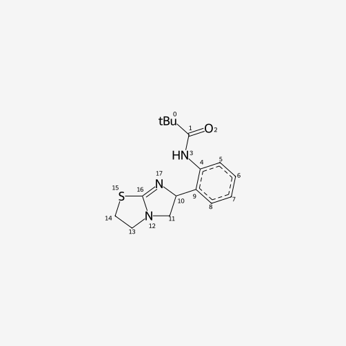 CC(C)(C)C(=O)Nc1ccccc1C1CN2CCSC2=N1